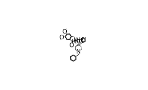 COc1cc2c(cc1OC)C(=O)C(CC1CCN(Cc3ccccc3)CC1)C2.Cl.O.O